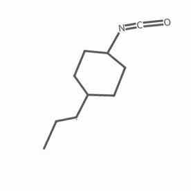 CC[CH]C1CCC(N=C=O)CC1